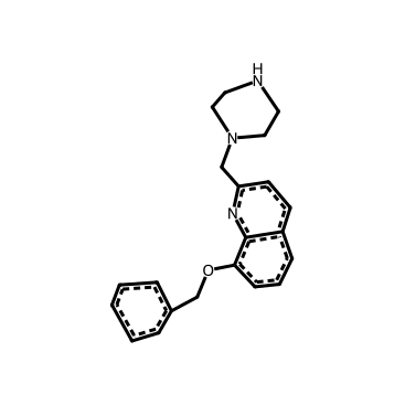 c1ccc(COc2cccc3ccc(CN4CCNCC4)nc23)cc1